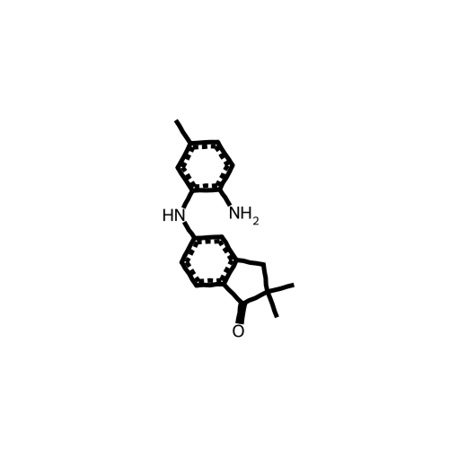 Cc1ccc(N)c(Nc2ccc3c(c2)CC(C)(C)C3=O)c1